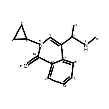 CNC(C)c1cn(C2CC2)c(=O)c2ccccc12